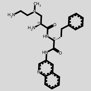 CN(CCN)C[C@H](N)C(=O)N[C@H](CCc1ccccc1)C(=O)Nc1cnc2ccccc2c1